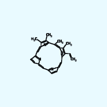 C=CC1=C(C)C2=C(C)C3=NC(=CC4=NC(=CC5=NC(=CC1=N2)C=C5)C=C4)C(C)=C3C